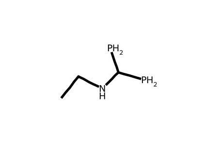 CCNC(P)P